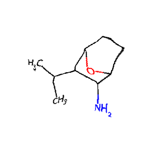 CC(C)C1C2CCC(O2)C1N